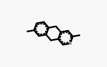 Cc1ccc2c(c1)Cc1cnc(C)cc1C2